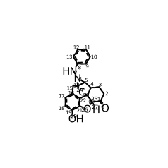 O=C1CCC2C3N(Nc4ccccc4)C34Cc3ccc(O)c5c3C2(C4)[C@H]1O5